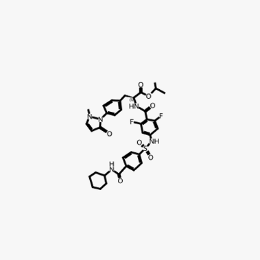 CC(C)OC(=O)[C@H](Cc1ccc(-n2c(=O)ccn2C)cc1)NC(=O)c1c(F)cc(NS(=O)(=O)c2ccc(C(=O)NC3CCCCC3)cc2)cc1F